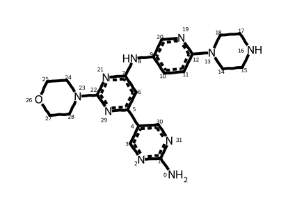 Nc1ncc(-c2cc(Nc3ccc(N4CCNCC4)nc3)nc(N3CCOCC3)n2)cn1